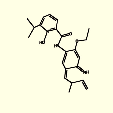 C=CC(C)/C=C1/C=C(NC(=O)c2cccc(C(C)C)[n+]2O)C(OCC)=CC1=N